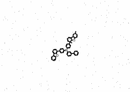 CC1C=CC2=C(C1)C1=CC=CC(C)(c3ccc(N(c4ccc(-c5cccc6c5oc5c#cccc56)cc4)c4cccc(-c5ccccc5)c4)cc3)C1O2